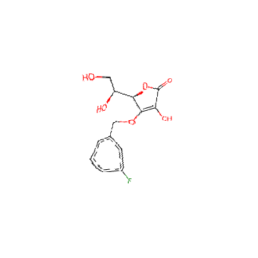 O=C1O[C@H]([C@@H](O)CO)C(OCc2cccc(F)c2)=C1O